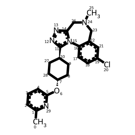 Cc1cccc(O[C@H]2CC[C@H](c3nnc4n3-c3ccc(Cl)cc3CN(C)C4)CC2)n1